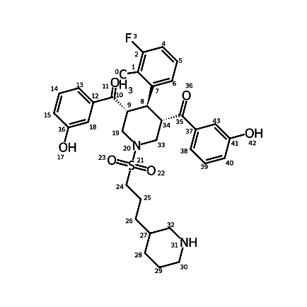 Cc1c(F)cccc1[C@@H]1[C@@H](C(=O)c2cccc(O)c2)CN(S(=O)(=O)CCCC2CCCNC2)C[C@H]1C(=O)c1cccc(O)c1